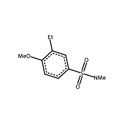 CCc1cc(S(=O)(=O)NC)ccc1OC